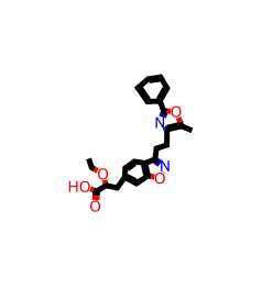 CCOC(Cc1ccc2c(CCc3nc(-c4ccccc4)oc3C)noc2c1)C(=O)O